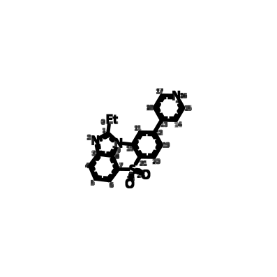 CCc1nc2cccc3c2n1-c1cc(-c2ccncc2)ccc1S3(=O)=O